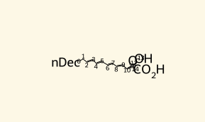 CCCCCCCCCCCC=CC=CC=CC=CC=C(OO)C(=O)O